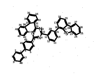 c1ccc(-c2ccc(-c3nc(-c4cccc(-c5cccc6c5sc5ccccc56)c4)nc(-c4ccccc4-c4ccccc4)n3)cc2)cc1